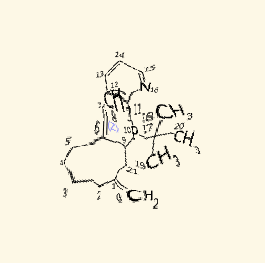 C=C1CCCC/C(=C/C)C(P(c2ccccn2)C(C)(C)C)C1